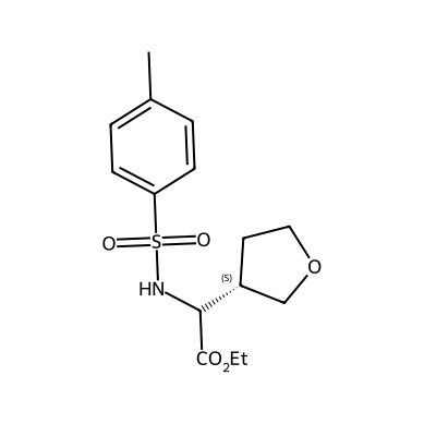 CCOC(=O)C(NS(=O)(=O)c1ccc(C)cc1)[C@@H]1CCOC1